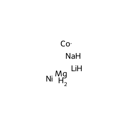 [Co].[LiH].[MgH2].[NaH].[Ni]